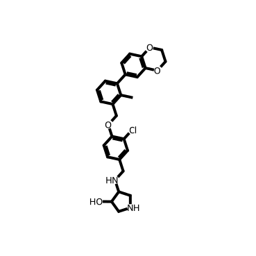 Cc1c(COc2ccc(CNC3CNCC3O)cc2Cl)cccc1-c1ccc2c(c1)OCCO2